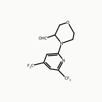 O=CC1COCCN1c1cc(C(F)(F)F)cc(C(F)(F)F)n1